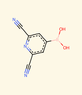 N#Cc1cc(B(O)O)cc(C#N)n1